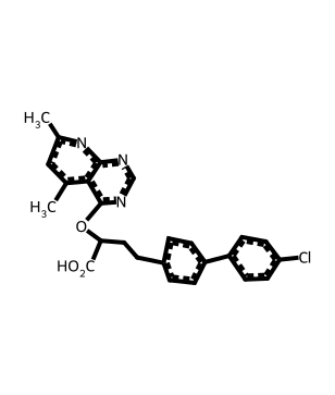 Cc1cc(C)c2c(OC(CCc3ccc(-c4ccc(Cl)cc4)cc3)C(=O)O)ncnc2n1